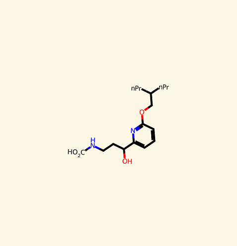 CCCC(CCC)COc1cccc(C(O)CCNC(=O)O)n1